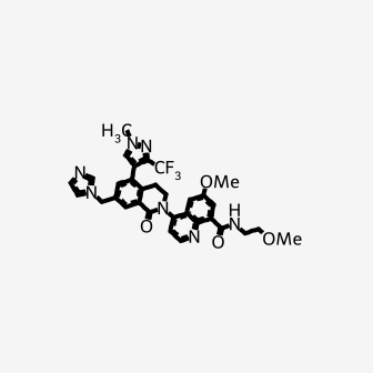 COCCNC(=O)c1cc(OC)cc2c(N3CCc4c(cc(Cn5ccnc5)cc4-c4cn(C)nc4C(F)(F)F)C3=O)ccnc12